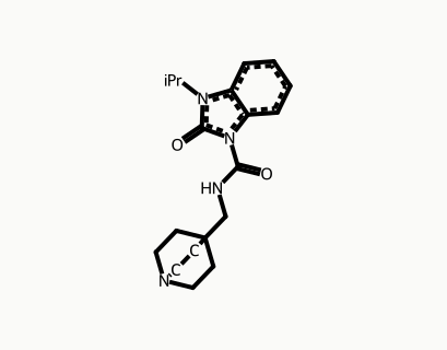 CC(C)n1c(=O)n(C(=O)NCC23CCN(CC2)CC3)c2ccccc21